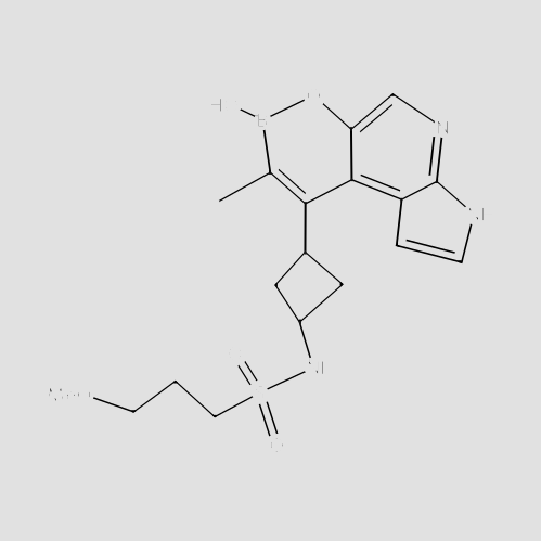 COCCCS(=O)(=O)NC1CC(C2=C(C)B(O)Oc3cnc4[nH]ccc4c32)C1